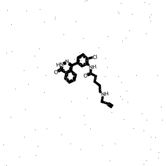 C#CCNCCCCC(=O)Nc1cc(-c2n[nH]c(=O)c3ccccc23)ccc1Cl